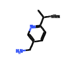 CCCCCCC(C)c1ccc(CN)cn1